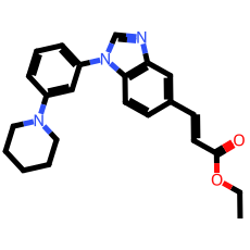 CCOC(=O)C=Cc1ccc2c(c1)ncn2-c1cccc(N2CCCCC2)c1